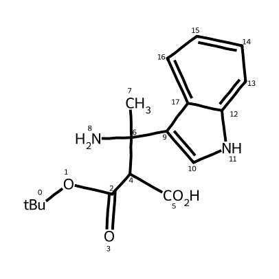 CC(C)(C)OC(=O)C(C(=O)O)C(C)(N)c1c[nH]c2ccccc12